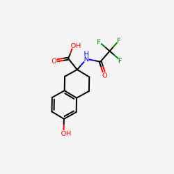 O=C(NC1(C(=O)O)CCc2cc(O)ccc2C1)C(F)(F)F